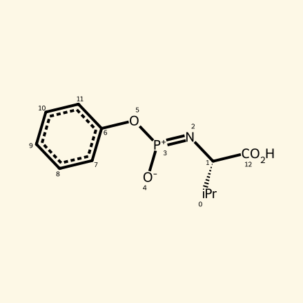 CC(C)[C@H](N=[P+]([O-])Oc1ccccc1)C(=O)O